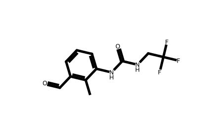 Cc1c(C=O)cccc1NC(=O)NCC(F)(F)F